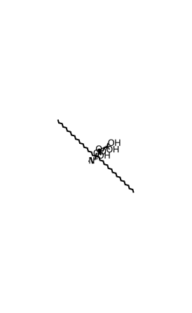 CCCCCCCCCCCCCCCCCCC(CCCCCCCCCCCCCCCCCC)(C[N+](C)(C)C)OP(=O)(O)OC[C@H](O)CO